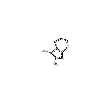 CCCCn1c(C)nc2ncccc21